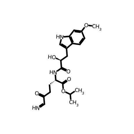 COc1ccc2c(C[C@H](O)C(=O)N[C@@H](CCC(=O)C=N)C(=O)OC(C)C)c[nH]c2c1